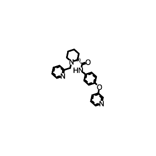 O=C(Nc1ccc(Oc2cccnc2)cc1)[C@H]1CCCCN1Cc1ccccn1